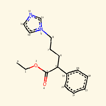 CCOC(=O)C(CCCn1ccnc1)c1ccccc1